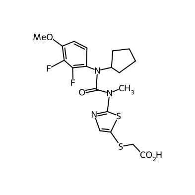 COc1ccc(N(C(=O)N(C)c2ncc(SCC(=O)O)s2)C2CCCC2)c(F)c1F